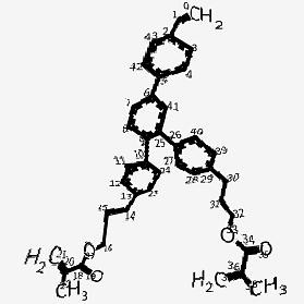 C=Cc1ccc(-c2ccc(-c3ccc(CCCOC(=O)C(=C)C)cc3)c(-c3ccc(CCCOC(=O)C(=C)C)cc3)c2)cc1